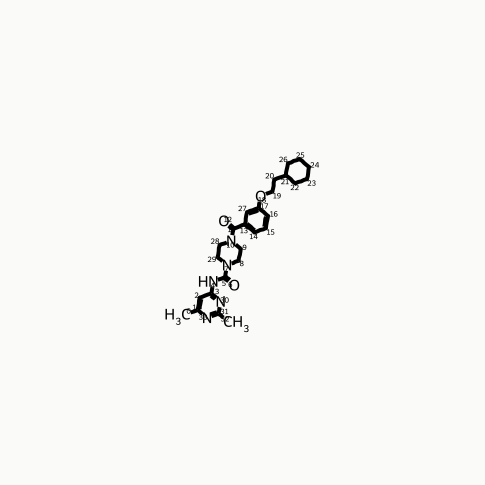 Cc1cc(NC(=O)N2CCN(C(=O)c3cccc(OCCC4CCCCC4)c3)CC2)nc(C)n1